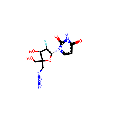 [N-]=[N+]=NC[C@]1(CO)O[C@@H](n2ccc(=O)[nH]c2=O)[C@H](F)[C@@H]1O